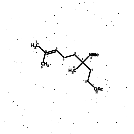 CNC(C)(CCC=C(C)C)CCOC(C)=O